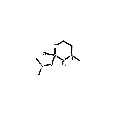 C[SiH](C)O[Si]1(Cl)OCC[SiH](C)[SiH2]1